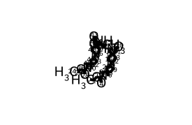 CCOC(=O)N1CC2(CCC(N3CCC4(CC3)CNC(=O)C4)C2)C1.CCOC(=O)N1CC2(CCC(N3CCC4(CC3)OC(=O)NC4CC)C2)C1